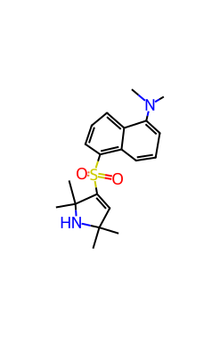 CN(C)c1cccc2c(S(=O)(=O)C3=CC(C)(C)NC3(C)C)cccc12